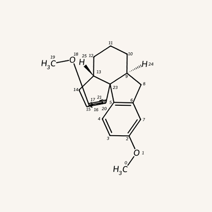 COc1ccc2c(c1)C[C@@H]1CCC[C@H]3Cc4cc(OC)ccc4C213